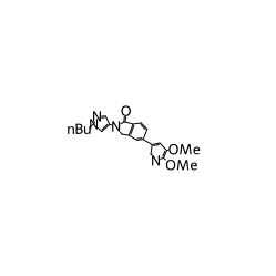 CCCCn1cc(N2Cc3cc(-c4cnc(OC)c(OC)c4)ccc3C2=O)cn1